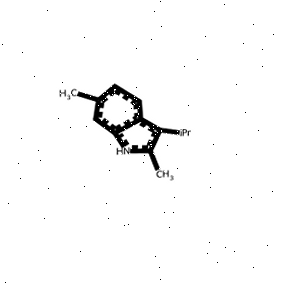 Cc1ccc2c(C(C)C)c(C)[nH]c2c1